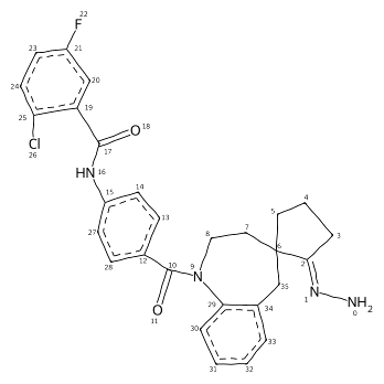 NN=C1CCCC12CCN(C(=O)c1ccc(NC(=O)c3cc(F)ccc3Cl)cc1)c1ccccc1C2